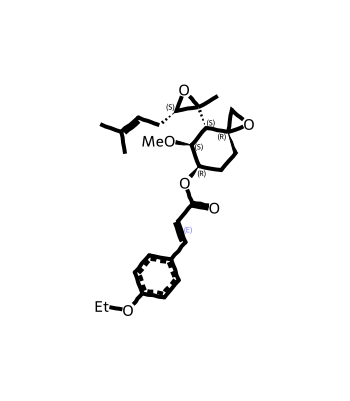 CCOc1ccc(/C=C/C(=O)O[C@@H]2CC[C@]3(CO3)[C@@H](C3(C)O[C@H]3CC=C(C)C)[C@@H]2OC)cc1